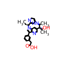 CC[C@@H](c1ccccn1)n1cc(-c2cccc(CC(=O)O)c2)c2ncc(/C(C(C)=N)=C(\C)O)cc21